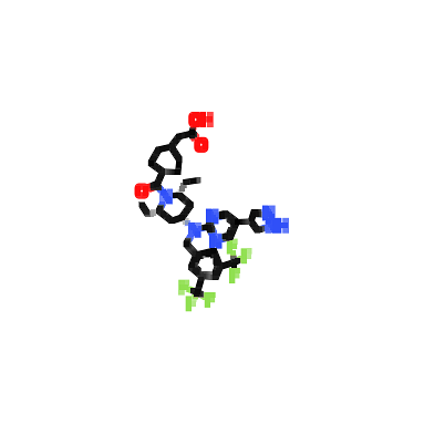 CC[C@@H]1C[C@H](N(Cc2cc(C(F)(F)F)cc(C(F)(F)F)c2)c2ncc(C3C=NNC3)cn2)C[C@H](CC)N1C(=O)C1CCC(CC(=O)O)CC1